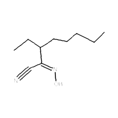 CCCCCC(CC)C(C#N)=NO